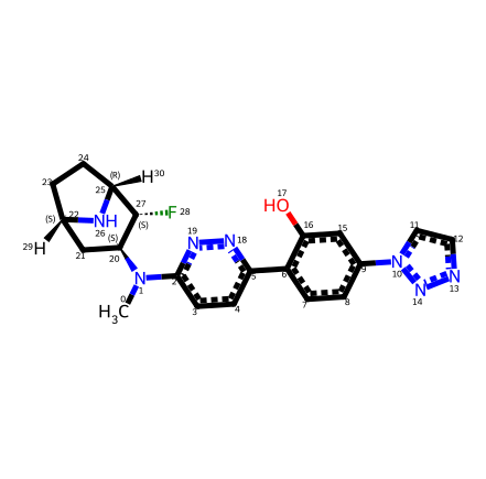 CN(c1ccc(-c2ccc(-n3ccnn3)cc2O)nn1)[C@H]1C[C@@H]2CC[C@@H](N2)[C@@H]1F